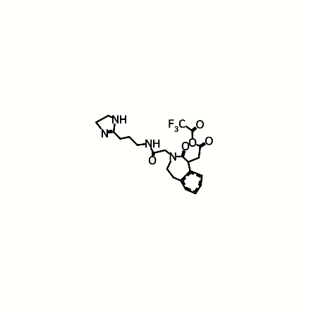 O=C(CN1CCc2ccccc2C(CC(=O)OC(=O)C(F)(F)F)C1=O)NCCCC1=NCCN1